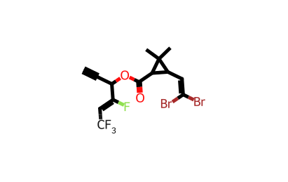 C#CC(OC(=O)C1C(C=C(Br)Br)C1(C)C)/C(F)=C/C(F)(F)F